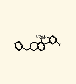 CCOC(=O)c1ccc(F)cc1-c1ccc2c(c1O)CCC(Cc1ccccc1)C2